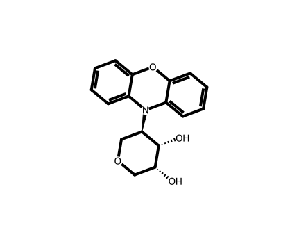 O[C@@H]1[C@H](O)COC[C@H]1N1c2ccccc2Oc2ccccc21